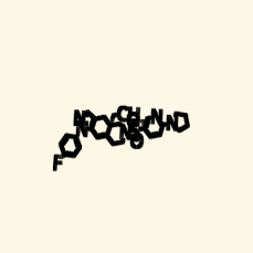 CC[C@]12Cc3cnn(-c4ccc(F)cc4)c3C=C1CCN(S(=O)(=O)c1ccc(N3CCCC3)nc1)C2